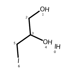 I.OCC(O)CI